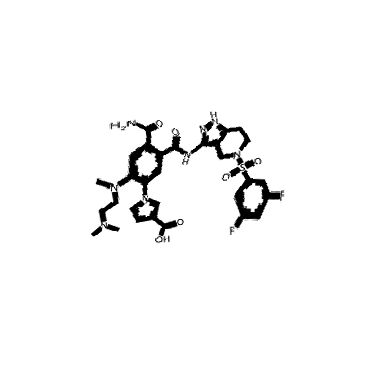 CN(C)CCN(C)c1cc(C(N)=O)c(C(=O)Nc2n[nH]c3c2CN(S(=O)(=O)c2cc(F)cc(F)c2)CC3)cc1-n1ccc(C(=O)O)c1